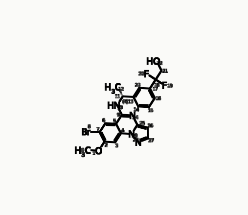 COc1cc2c(cc1Br)c(N[C@H](C)c1cccc(C(F)(F)CO)c1)nc1ccnn12